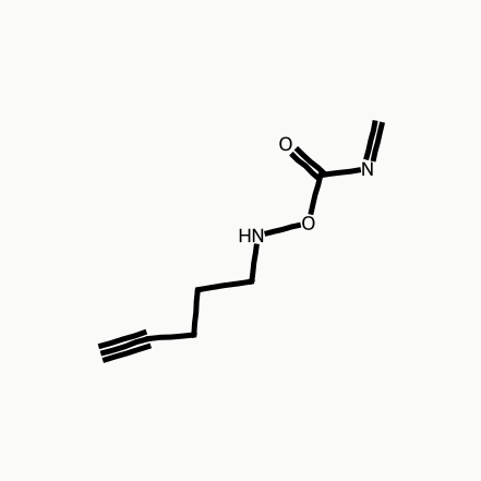 C#CCCCNOC(=O)N=C